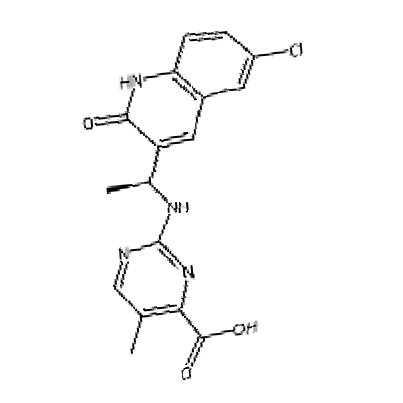 Cc1cnc(N[C@@H](C)c2cc3cc(Cl)ccc3[nH]c2=O)nc1C(=O)O